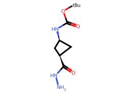 CC(C)(C)OC(=O)N[C@H]1C[C@@H](C(=O)NN)C1